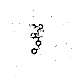 C=CC(=O)N1CCC[C@@]1(C)CNc1ncncc1C(=N)c1ccc(Oc2ccccc2)cc1